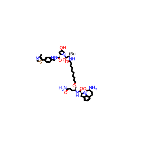 Cc1ncsc1-c1ccc(CNC(=O)[C@@H]2C[C@@H](O)CN2C(=O)[C@@H](NC(=O)CCCCCCCCCOC[C@H](CCC(N)=O)NC(=O)[C@@H]2Cc3cccc4c3N2C(=O)[C@@H](N)CC4)C(C)(C)C)cc1